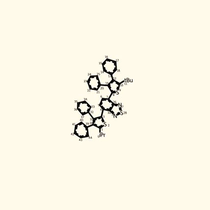 CC(C)c1sc(-c2ccc(-c3sc(C(C)(C)C)c(-c4ccccc4)c3-c3ccccc3)c3nsnc23)c(-c2ccccc2)c1-c1ccccc1